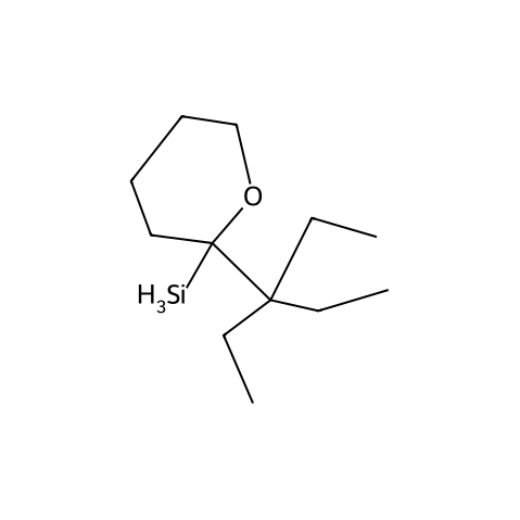 CCC(CC)(CC)C1([SiH3])CCCCO1